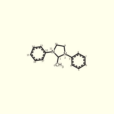 CC1N(c2ccccc2)CCN1c1ccccc1